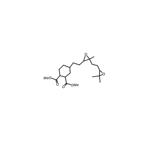 COC(=O)C1CCC(CCC2OC2(C)CCC2OC2(C)C)CC1C(=O)OC